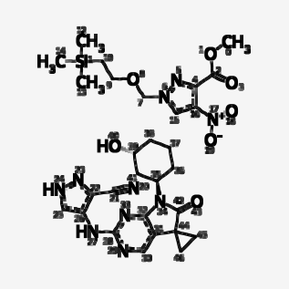 COC(=O)c1nn(COCC[Si](C)(C)C)cc1[N+](=O)[O-].N#Cc1n[nH]cc1Nc1ncc2c(n1)N([C@@H]1CCC[C@@H](O)C1)C(=O)C21CC1